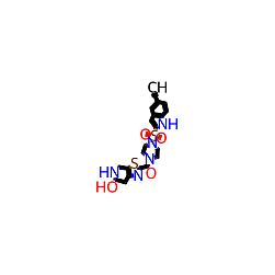 C#Cc1ccc2[nH]c(S(=O)(=O)N3CCN(C(=O)c4nc5c(s4)CNC(O)C5)CC3)cc2c1